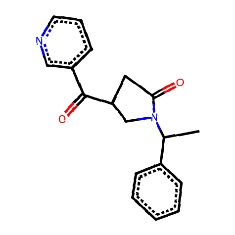 CC(c1ccccc1)N1CC(C(=O)c2cccnc2)CC1=O